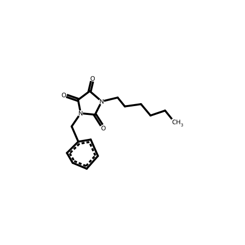 CCCCCCN1C(=O)C(=O)N(Cc2ccccc2)C1=O